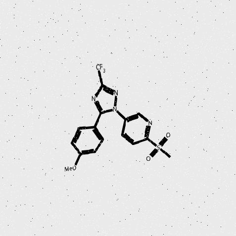 COc1ccc(-c2nc(C(F)(F)F)nn2-c2ccc(S(C)(=O)=O)nc2)cc1